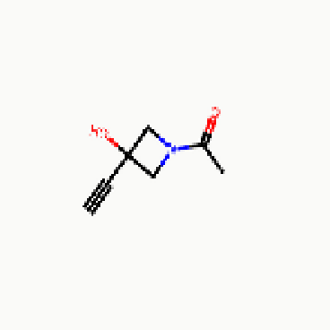 C#CC1(O)CN(C(C)=O)C1